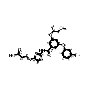 COC[C@H](C)Oc1cc(Oc2cccc(F)c2)cc(C(=O)Nc2ncc(SCCC(=O)O)s2)c1